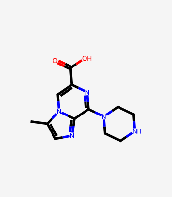 Cc1cnc2c(N3CCNCC3)nc(C(=O)O)cn12